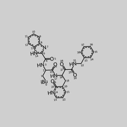 CCC(C)CC(NC(=O)c1nc2ccccc2[nH]1)C(=O)NC(Cc1ccc[nH]c1=O)C(=O)C(=O)NCc1ccccc1